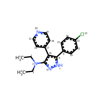 CCN(CC)c1n[nH]c(-c2ccc(Cl)cc2)c1-c1ccncc1